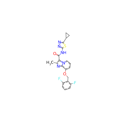 Cc1nc2c(OCc3c(F)cccc3F)cccn2c1C(=O)Nc1nnc(C2CC2)s1